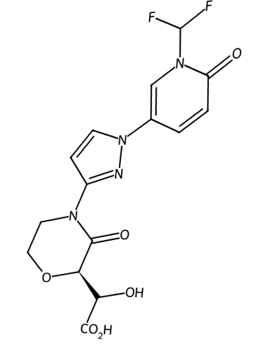 O=C(O)C(O)[C@H]1OCCN(c2ccn(-c3ccc(=O)n(C(F)F)c3)n2)C1=O